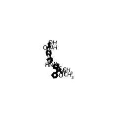 CN(C)C(=O)c1sc2cnc(Nc3ccc(N4CCN(C(=O)C(O)CO)CC4)cn3)cc2c1C1CCCCC1